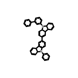 C1=CC2c3cc(C4=CC5C6C=CC=CC6N(c6cccc(-c7ccccc7)c6)C5C=C4)ccc3N(c3ccccc3)C2C=C1